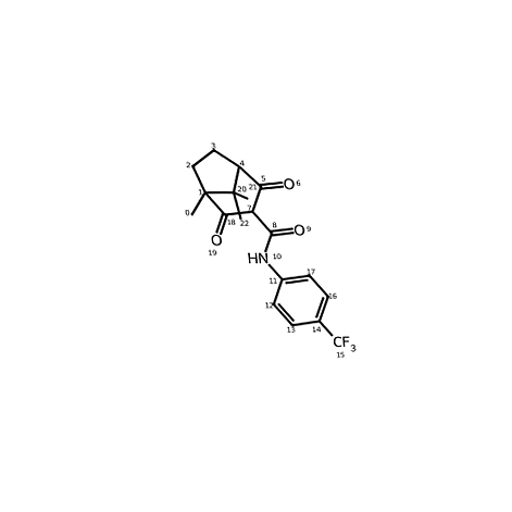 CC12CCC(C(=O)C(C(=O)Nc3ccc(C(F)(F)F)cc3)C1=O)C2(C)C